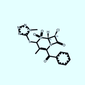 CC1=C(C(=O)c2ccccc2)N2C(=O)[C@H](Cl)[C@H]2S(=O)(=O)C1Sc1nnnn1C